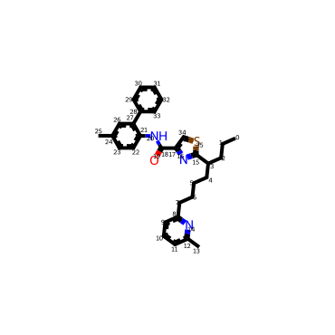 CCCC(CCCCc1cccc(C)n1)c1nc(C(=O)Nc2ccc(C)cc2-c2ccccc2)cs1